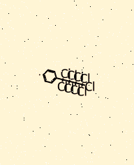 ClC(Cl)(Cl)C(Cl)(Cl)C(Cl)(Cl)C(Cl)(Cl)c1cc[c]cc1